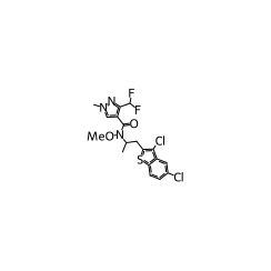 CON(C(=O)c1cn(C)nc1C(F)F)C(C)Cc1sc2ccc(Cl)cc2c1Cl